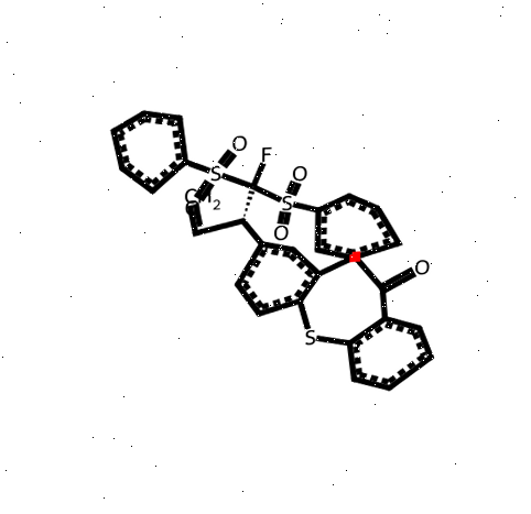 C=C[C@@H](c1ccc2c(c1)CC(=O)c1ccccc1S2)C(F)(S(=O)(=O)c1ccccc1)S(=O)(=O)c1ccccc1